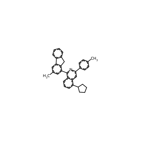 Cc1ccc(-c2cc3c(C4CCCC4)cccc3c(-c3cc(C)cc4c3Cc3ccccc3-4)n2)cc1